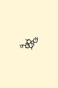 COCc1ccc(/C(C)=C\n2c3c(c4cc(C)ccc42)CN(C)CC3)cn1